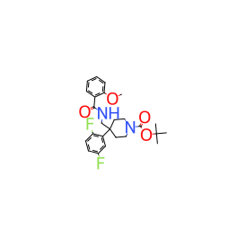 COc1ccccc1C(=O)NCC1(c2cc(F)ccc2F)CCN(C(=O)OC(C)(C)C)CC1